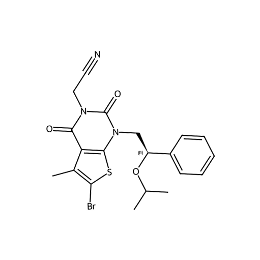 Cc1c(Br)sc2c1c(=O)n(CC#N)c(=O)n2C[C@H](OC(C)C)c1ccccc1